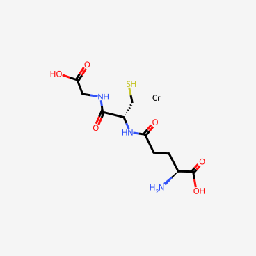 N[C@@H](CCC(=O)N[C@@H](CS)C(=O)NCC(=O)O)C(=O)O.[Cr]